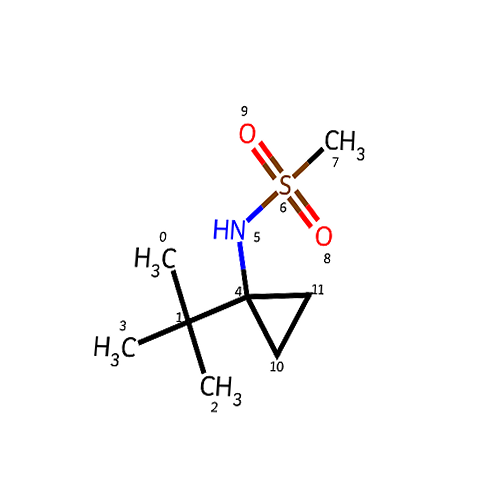 CC(C)(C)C1(NS(C)(=O)=O)CC1